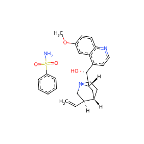 C=C[C@H]1CN2CC[C@H]1C[C@H]2[C@H](O)c1ccnc2ccc(OC)cc12.NS(=O)(=O)c1ccccc1